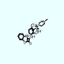 CN1CCN(S(=O)(=O)c2c(Cl)ccc(Nc3c(Nc4ccccc4F)c(=O)c3=O)c2O)CC1